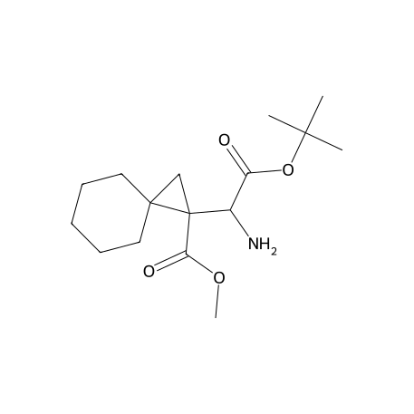 COC(=O)C1(C(N)C(=O)OC(C)(C)C)CC12CCCCC2